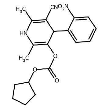 CC1=C(C#N)C(c2ccccc2[N+](=O)[O-])C(OC(=O)OC2CCCC2)=C(C)N1